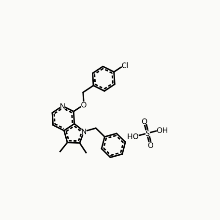 Cc1c(C)n(Cc2ccccc2)c2c(OCc3ccc(Cl)cc3)nccc12.O=S(=O)(O)O